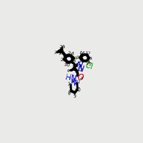 Cc1c(C(=O)NN2CCCCC2)nn(-c2ccccc2Cl)c1-c1ccc(C2CC2)cc1